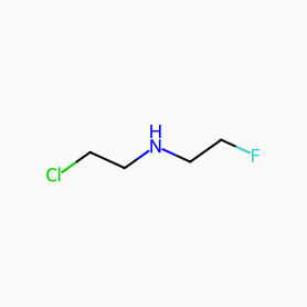 FCCNCCCl